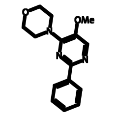 COc1cnc(-c2ccccc2)nc1N1CCOCC1